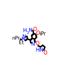 CCCC(CC)n1cc(-c2cnc(OCC3CCC(=O)N3)c3cc(OC(C)C)c(C(N)=O)cc23)cn1